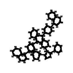 c1ccc(-c2ccc(-c3ccccc3)n2-c2ccc3c(-c4ccc(-c5cccc6ccccc56)cc4)c4ccccc4c(-c4ccc(-c5cccc6ccccc56)cc4)c3c2)cc1